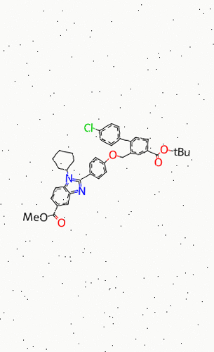 COC(=O)c1ccc2c(c1)nc(-c1ccc(OCc3cc(C(=O)OC(C)(C)C)ccc3-c3ccc(Cl)cc3)cc1)n2C1CCCCC1